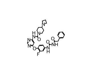 O=C(Cc1ccccc1)NC(=O)Nc1ccc(Oc2cc(NC(=O)N3CCC(N4CCC4)CC3)ncn2)c(F)c1